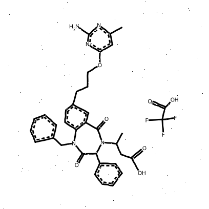 Cc1cc(OCCCc2ccc3c(c2)C(=O)N(C(C)CC(=O)O)C(c2ccccc2)C(=O)N3Cc2ccccc2)nc(N)n1.O=C(O)C(F)(F)F